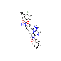 Cc1ccc(S(=O)(=O)n2ccc3c2ncc2nnc([C@@H]4CC[C@H](NS(=O)(=O)c5ccc(F)c(C#N)c5)C4)n23)cc1